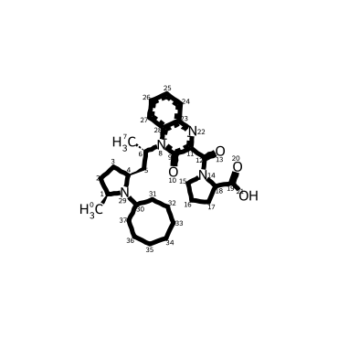 C[C@H]1CC[C@@H](C[C@H](C)n2c(=O)c(C(=O)N3CCCC3C(=O)O)nc3ccccc32)N1C1CCCCCCC1